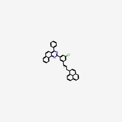 CC12C=CC=C3C=CC=C(C(C/C=C/c4cc(Cl)cc(-c5nc(-c6ccccc6)c6ccc7ccccc7c6n5)c4)C=C1)C32